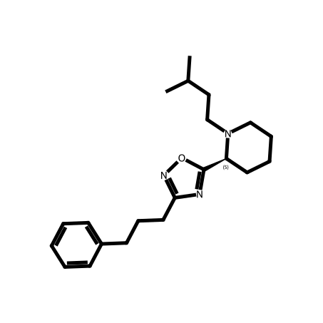 CC(C)CCN1CCCC[C@H]1c1nc(CCCc2ccccc2)no1